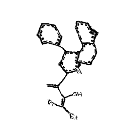 C=C(/C(S)=C(/CC)C(C)C)c1cc(-c2ccccc2)c2c(ccc3ccccc32)n1